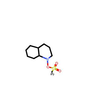 CC(C)S(=O)(=O)ON1CCCC2CCCCC21